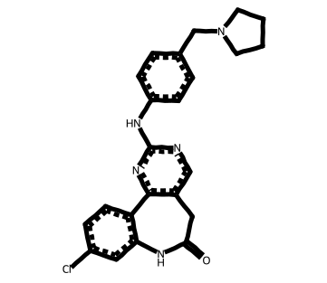 O=C1Cc2cnc(Nc3ccc(CN4CCCC4)cc3)nc2-c2ccc(Cl)cc2N1